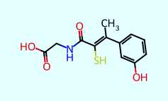 CC(=C(S)C(=O)NCC(=O)O)c1cccc(O)c1